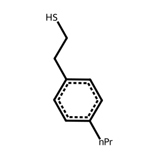 CCCc1ccc(CCS)cc1